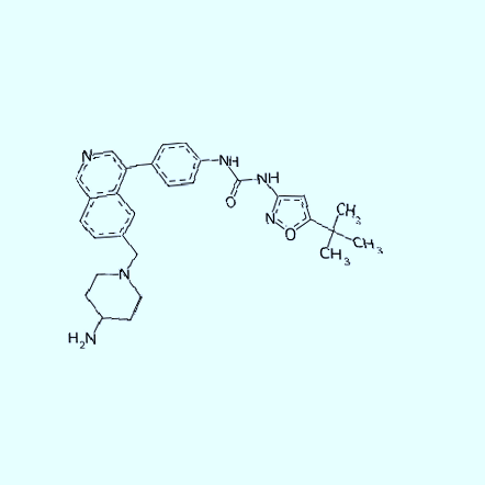 CC(C)(C)c1cc(NC(=O)Nc2ccc(-c3cncc4ccc(CN5CCC(N)CC5)cc34)cc2)no1